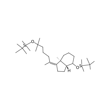 CC(CCCC(C)(C)O[Si](C)(C)C(C)(C)C)=C1CC[C@H]2C(O[Si](C)(C)C(C)(C)C)CCC[C@]12C